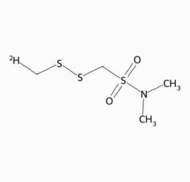 [2H]CSSCS(=O)(=O)N(C)C